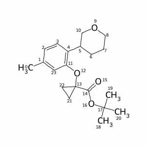 Cc1ccc(C2CCCOC2)c(OC2(C(=O)OC(C)(C)C)CC2)c1